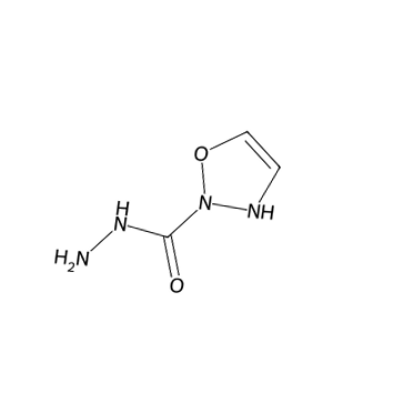 NNC(=O)N1NC=CO1